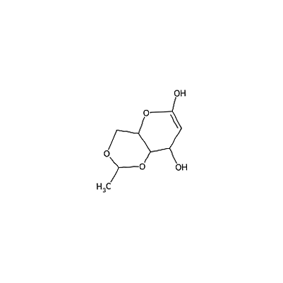 CC1OCC2OC(O)=CC(O)C2O1